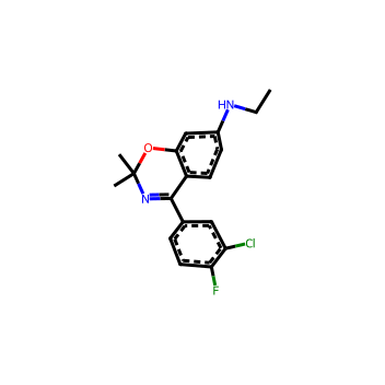 CCNc1ccc2c(c1)OC(C)(C)N=C2c1ccc(F)c(Cl)c1